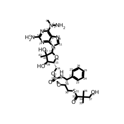 CN(N)c1nc(N)nc2c1ncn2C1O[C@H](COP(=O)(NCc2ccccc2)OCCSC(=O)C(C)(C)CO)C(O)C1(C)O